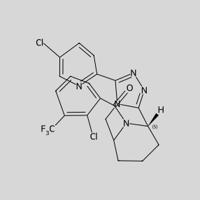 O=C(c1cccc(C(F)(F)F)c1Cl)N1C2CCC[C@H]1c1nnc(-c3ccc(Cl)cn3)n1C2